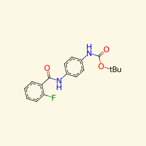 CC(C)(C)OC(=O)Nc1ccc(NC(=O)c2ccccc2F)cc1